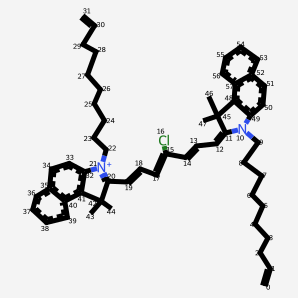 C=CCCCCCCCCN1/C(=C/C=C/C(Cl)=C/C=C/C2=[N+](CCCCCCCCC=C)c3ccc4ccccc4c3C2(C)C)C(C)(C)c2c1ccc1ccccc21